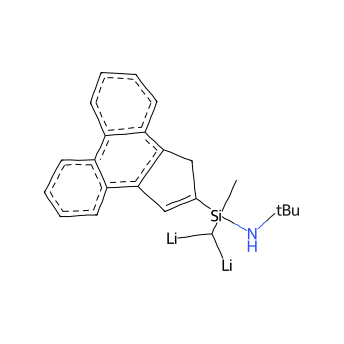 [Li][CH]([Li])[Si](C)(NC(C)(C)C)C1=Cc2c(c3ccccc3c3ccccc23)C1